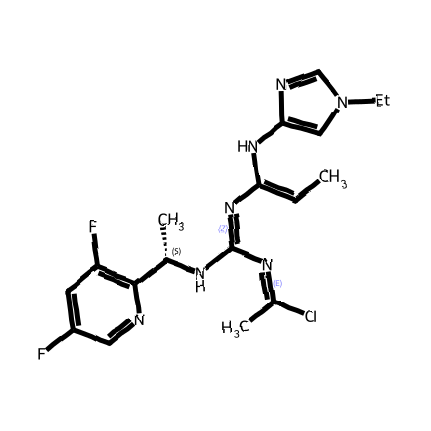 CC=C(/N=C(\N=C(/C)Cl)N[C@@H](C)c1ncc(F)cc1F)Nc1cn(CC)cn1